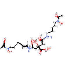 CC(=O)N(O)CCCCCNC(=O)CC(O)(CC(=O)NCCCCCN(O)C(C)=O)C(=O)O